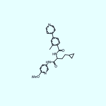 COc1ccc(NC(=O)C(CCC2CC2)NC(=O)c2ccc(-c3ccncc3)cc2C)cn1